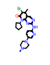 Cc1c(Br)c(=O)n(C2CCCC2)c2nc(Nc3ccc(N4CCN(C)CC4)cn3)ncc12